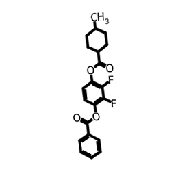 CC1CCC(C(=O)Oc2ccc(OC(=O)c3ccccc3)c(F)c2F)CC1